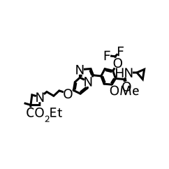 CCOC(=O)C1(C)CN(CCCOc2ccn3c(-c4cc(OC)c(C(=O)NC5CC5)c(OC(F)F)c4)cnc3c2)C1